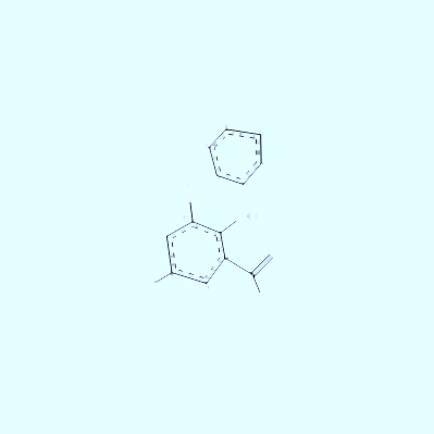 O=C(O)c1cc(Cl)cc(Cl)c1O.c1ccccc1